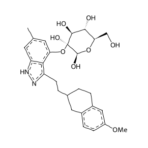 COc1ccc2c(c1)CCC(CCc1n[nH]c3cc(C)cc(O[C@]4(O)[C@H](O)O[C@H](CO)[C@@H](O)[C@@H]4O)c13)C2